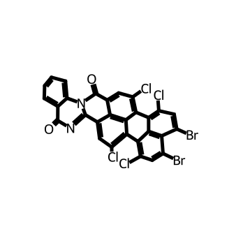 O=c1nc2c3cc(Cl)c4c5c(Cl)cc(Br)c6c(Br)cc(Cl)c(c7c(Cl)cc(c(=O)n2c2ccccc12)c3c74)c65